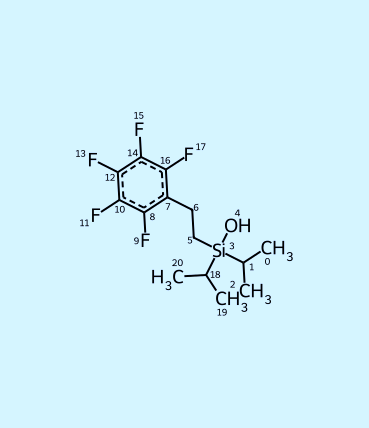 CC(C)[Si](O)(CCc1c(F)c(F)c(F)c(F)c1F)C(C)C